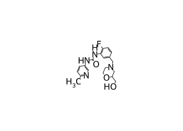 Cc1ccc(NC(=O)Nc2cc(CN3CCOC(CO)C3)ccc2F)cn1